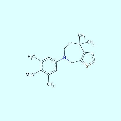 CNc1c(C)cc(N2CCC(C)(C)c3ccsc3C2)cc1C